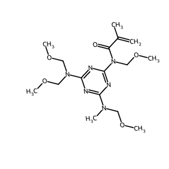 C=C(C)C(=O)N(COC)c1nc(N(C)COC)nc(N(COC)COC)n1